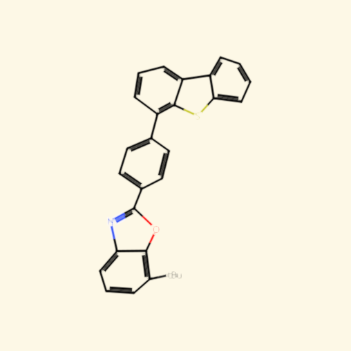 CC(C)(C)c1cccc2nc(-c3ccc(-c4cccc5c4sc4ccccc45)cc3)oc12